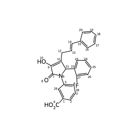 O=C(O)c1cccc(N2C(=O)C(O)=C(CC=Cc3ccccc3)C2c2ccccc2F)c1